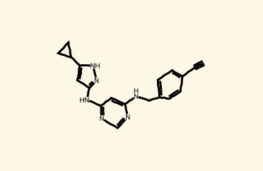 C#Cc1ccc(CNc2cc(Nc3cc(C4CC4)[nH]n3)ncn2)cc1